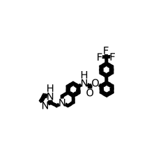 O=C(Nc1ccc2c(c1)CCN(Cc1ncc[nH]1)C2)Oc1ccccc1-c1ccc(C(F)(F)F)cc1